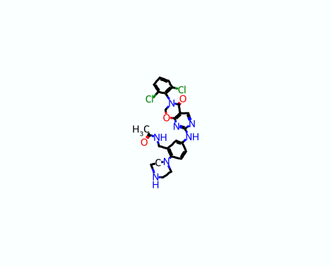 CC(=O)NCc1cc(Nc2ncc3c(n2)OCN(c2c(Cl)cccc2Cl)C3=O)ccc1N1CCNCC1